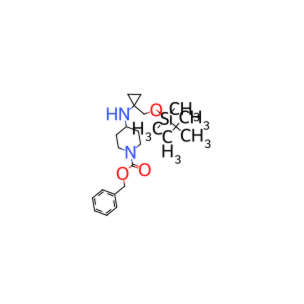 CC(C)(C)[Si](C)(C)OCC1(NC2CCN(C(=O)OCc3ccccc3)CC2)CC1